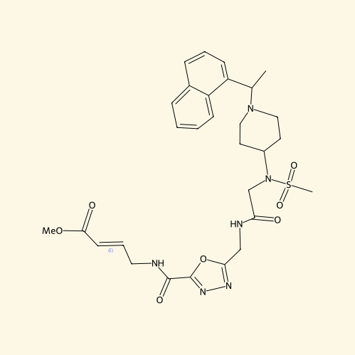 COC(=O)/C=C/CNC(=O)c1nnc(CNC(=O)CN(C2CCN(C(C)c3cccc4ccccc34)CC2)S(C)(=O)=O)o1